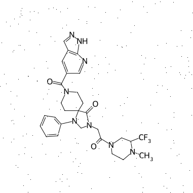 CN1CCN(C(=O)CN2CN(c3ccccc3)C3(CCN(C(=O)c4cnc5[nH]ncc5c4)CC3)C2=O)CC1C(F)(F)F